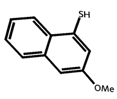 COc1cc(S)c2ccccc2c1